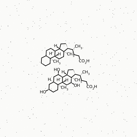 C[C@H](CCC(=O)O)[C@H]1CC[C@H]2[C@@H]3CCC4CCCC[C@]4(C)[C@H]3CC[C@]12C.C[C@H](CCC(=O)O)[C@H]1CC[C@H]2[C@@H]3[C@H](O)C[C@@H]4C[C@H](O)CC[C@]4(C)[C@H]3C[C@H](O)[C@]12C